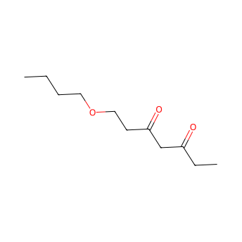 CCCCOCCC(=O)CC(=O)CC